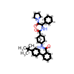 CC(C)(C)c1ccc(-c2ccccc2C(=O)NC23CCC(C(=O)NC(C(=O)N4CCCC4)c4ccccc4)(CC2)CC3)cc1